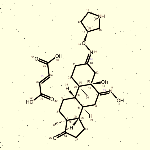 C[C@]12CC[C@H]3[C@@H](C/C(=N\O)[C@@]4(O)C/C(=N/O[C@H]5CCNC5)CC[C@]34C)[C@@H]1CCC2=O.O=C(O)/C=C/C(=O)O